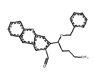 CCCCC(OCc1ccccc1)c1cc2nc3ccccc3cc2cc1C=O